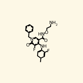 CC1C=C(F)C(Nc2c(C(=O)NOCCN)cn(Cc3ccccc3)c(=O)c2F)=CC1